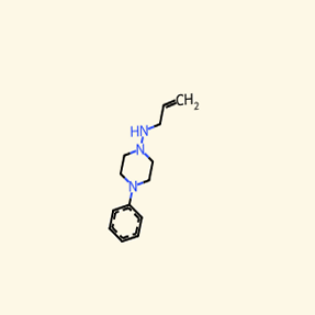 C=CCNN1CCN(c2ccccc2)CC1